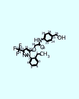 CCc1ccccc1-n1nc(C(F)(F)F)cc1OCC(=O)Nc1ccc(CO)cc1